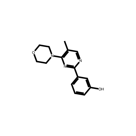 Cc1cnc(-c2cccc(O)c2)nc1N1CCOCC1